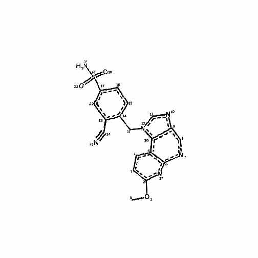 COc1ccc2c(ncc3ncn(Cc4ccc(S(N)(=O)=O)cc4C#N)c32)n1